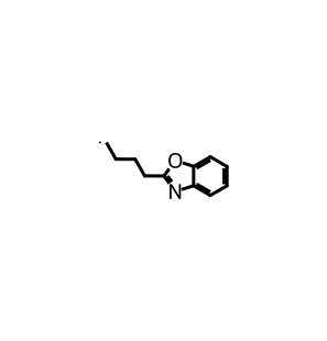 [CH2]CCCc1nc2ccccc2o1